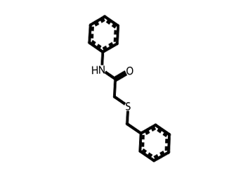 O=C(CSCc1ccccc1)Nc1ccccc1